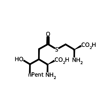 CCCCCC(O)C(CC(=O)SC[C@H](N)C(=O)O)[C@H](N)C(=O)O